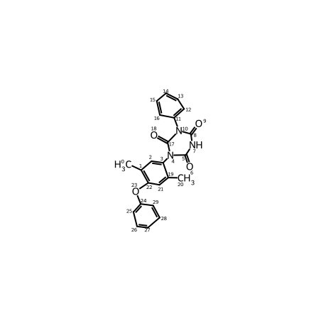 Cc1cc(-n2c(=O)[nH]c(=O)n(-c3ccccc3)c2=O)c(C)cc1Oc1ccccc1